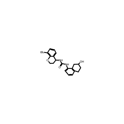 CC(C)(C)c1cccc2c1OCCC2NC(=O)Nc1cccc2c1CC(O)CC2